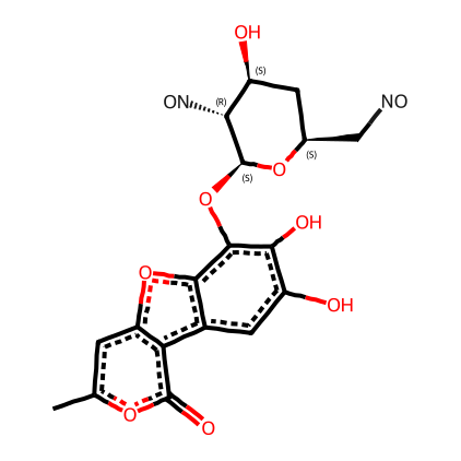 Cc1cc2oc3c(O[C@@H]4O[C@H](CN=O)C[C@H](O)[C@H]4N=O)c(O)c(O)cc3c2c(=O)o1